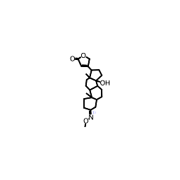 CO/N=C1\CCC2(C)C(CCC3C2CCC2(C)C(C4=CC(=O)OC4)CCC32O)C1